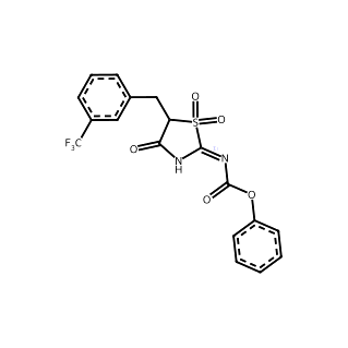 O=C(/N=C1\NC(=O)C(Cc2cccc(C(F)(F)F)c2)S1(=O)=O)Oc1ccccc1